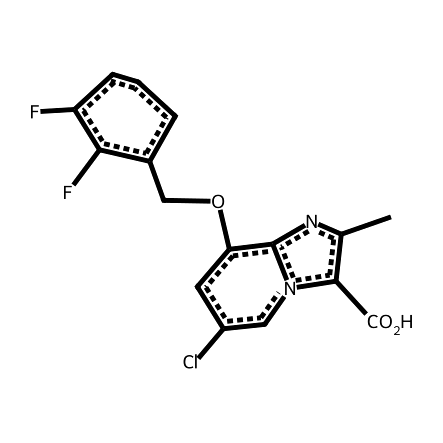 Cc1nc2c(OCc3cccc(F)c3F)cc(Cl)cn2c1C(=O)O